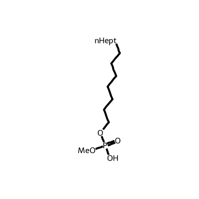 CCCCCCCCCCCCCCOP(=O)(O)OC